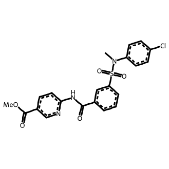 COC(=O)c1ccc(NC(=O)c2cccc(S(=O)(=O)N(C)c3ccc(Cl)cc3)c2)nc1